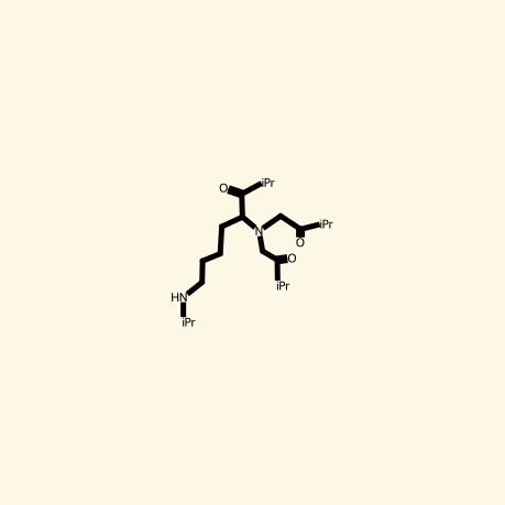 CC(C)NCCCCC(C(=O)C(C)C)N(CC(=O)C(C)C)CC(=O)C(C)C